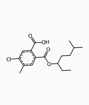 CCC(CCC(C)C)OC(=O)c1cc(C)c(Cl)cc1C(=O)O